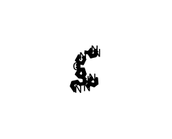 c1ccc(-c2nc3cccnc3n2-c2ccc(OC3CCN(Cc4ccnnc4)CC3)cc2)nc1